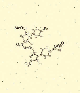 COC[n+]1cc([N+](=O)[O-])n(C)c1-c1ccc(F)cc1.COC[n+]1cc([N+](=O)[O-])n(C)c1-c1ccc(F)cc1.[O-]B([O-])F